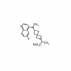 CCOC(=O)C(C)N1CC2(CC(N(C)c3ccnc4ccc(F)cc34)C2)C1